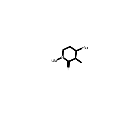 CC1C(=O)N(C(C)(C)C)CCC1C(C)(C)C